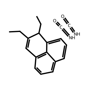 CCC1=Cc2cccc3cccc(c23)C1CC.N=C=O.N=C=O